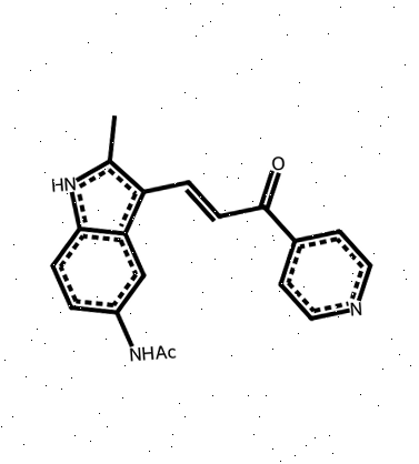 CC(=O)Nc1ccc2[nH]c(C)c(C=CC(=O)c3ccncc3)c2c1